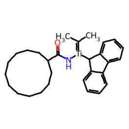 C[C](C)=[Ti]([NH]C(=O)C1CCCCCCCCCCC1)[CH]1c2ccccc2-c2ccccc21